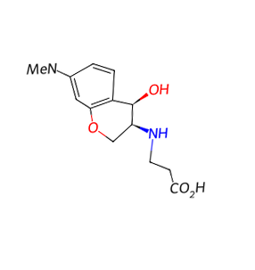 CNc1ccc2c(c1)OC[C@H](NCCC(=O)O)[C@@H]2O